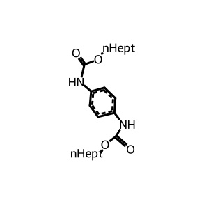 CCCCCCCOC(=O)Nc1ccc(NC(=O)OCCCCCCC)cc1